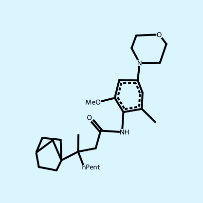 CCCCCC(C)(CC(=O)Nc1c(C)cc(N2CCOCC2)cc1OC)C12CCC(CC1)C2